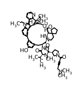 CCn1c2c3c4cc(ccc41)-c1cc(O)cc(c1)C[C@H](NC(=O)[C@H](C(C)C)N(C)C(=O)[C@H]1CCN(C(=O)C#CCN(C)C)C1)C(=O)N1CCC4(CCCC4)[C@H](N1)C(=O)OCC(C)(C)C3[C@H](OC)c1ncccc1-2